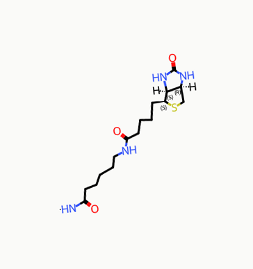 [NH]C(=O)CCCCCNC(=O)CCCC[C@@H]1SC[C@@H]2NC(=O)N[C@@H]21